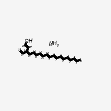 CCCCCCCCCCCCCCCC[C](CC)CCO.N